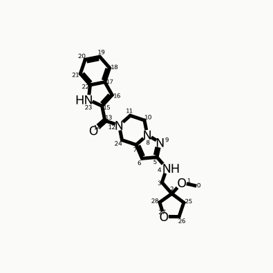 COC1(CNc2cc3n(n2)CCN(C(=O)c2cc4ccccc4[nH]2)C3)CCOC1